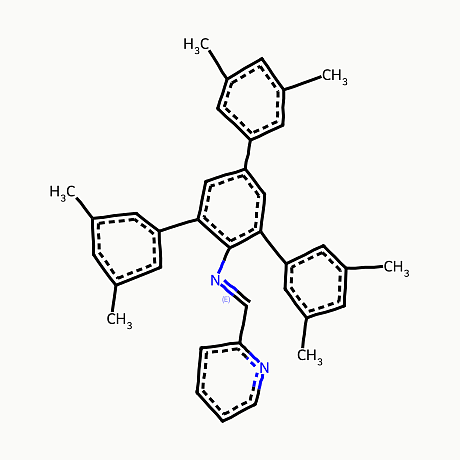 Cc1cc(C)cc(-c2cc(-c3cc(C)cc(C)c3)c(/N=C/c3ccccn3)c(-c3cc(C)cc(C)c3)c2)c1